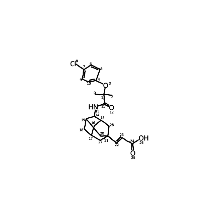 CC(C)(Oc1ccc(Cl)cc1)C(=O)NC1C2CC3CC1CC(/C=C/C(=O)O)(C3)C2